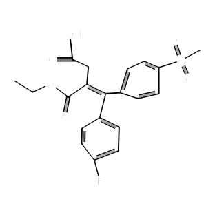 CCOC(=O)C(CC(=O)O)=C(c1ccc(F)cc1)c1ccc(S(C)(=O)=O)cc1